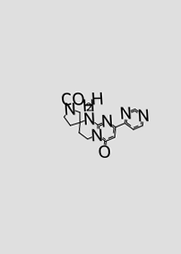 O=C(O)N1CCC2(CCn3c(nc(-c4ccncn4)cc3=O)N2)C1